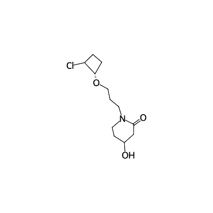 O=C1CC(O)CCN1CCCO[C@H]1CCC1Cl